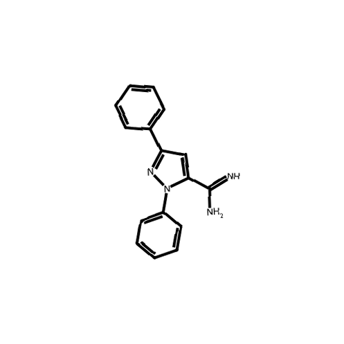 N=C(N)c1cc(-c2ccccc2)nn1-c1ccccc1